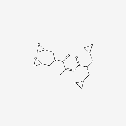 C/C(=C/C(=O)N(CC1CO1)CC1CO1)C(=O)N(CC1CO1)CC1CO1